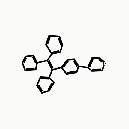 c1ccc(C(=C(c2ccccc2)c2ccc(-c3ccncc3)cc2)c2ccccc2)cc1